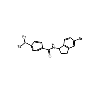 CCN(CC)c1ccc(C(=O)NC2CCc3cc(Br)ccc32)cc1